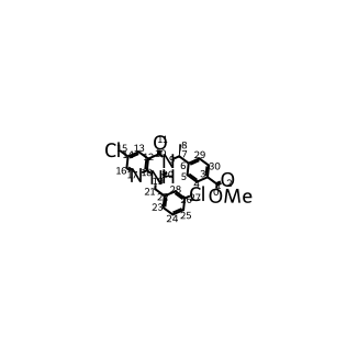 COC(=O)c1ccc([C@H](C)NC(=O)c2cc(Cl)cnc2N(C)Cc2cccc(Cl)c2)cc1